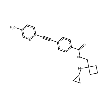 Cc1ccc(C#Cc2ccc(C(=O)NCC3(NC4CC4)CCC3)cc2)nc1